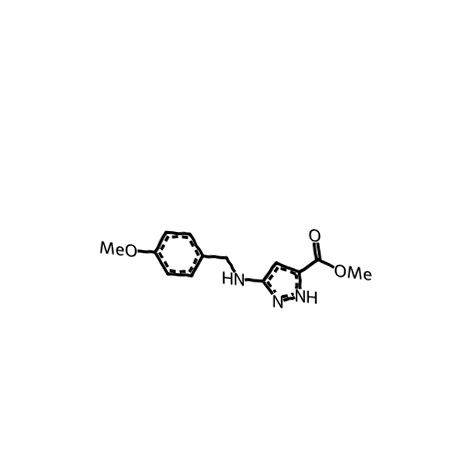 COC(=O)c1cc(NCc2ccc(OC)cc2)n[nH]1